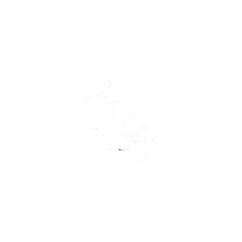 C=C(C)C(=O)OC(=O)C(SC#N)C1C[C@H]2CC[C@@]1(C)C2(C)C